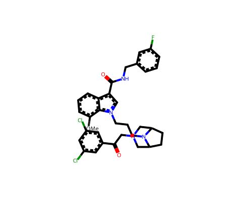 COc1cccc2c(C(=O)NCc3cccc(F)c3)cn(CCCN3C4CCC3CN(CC(=O)c3cc(Cl)cc(Cl)c3)C4)c12